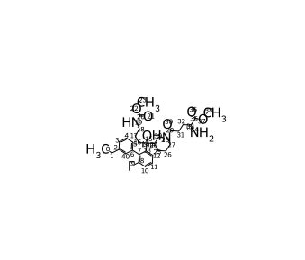 CCc1cccc(-c2c(F)cccc2[C@](O)(CCCNC(=O)OC)[C@@H]2CCCN(C(=O)CC[C@H](N)C(=O)OC)C2)c1